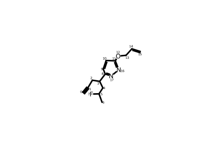 C#CCC(CC(C)F)c1ccc(OCC=C)nn1